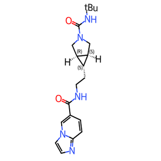 CC(C)(C)NC(=O)N1C[C@@H]2[C@@H](CCNC(=O)c3ccc4nccn4c3)[C@@H]2C1